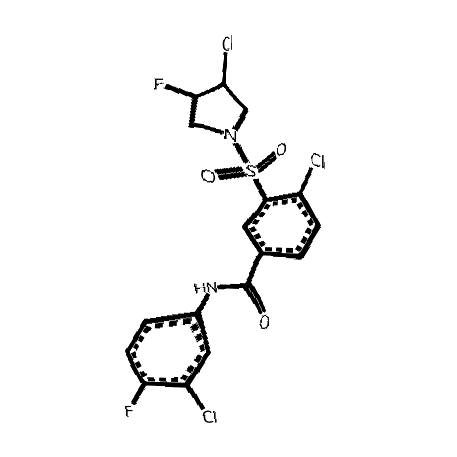 O=C(Nc1ccc(F)c(Cl)c1)c1ccc(Cl)c(S(=O)(=O)N2CC(F)C(Cl)C2)c1